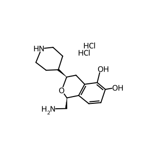 Cl.Cl.NC[C@H]1O[C@@H](C2CCNCC2)Cc2c1ccc(O)c2O